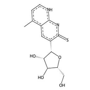 Cc1cc[nH]c2nc(=S)c([C@@H]3O[C@H](CO)C(O)[C@@H]3O)cc1-2